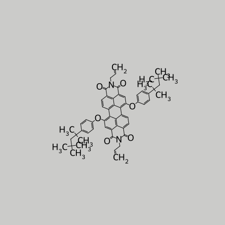 C=CCN1C(=O)c2ccc3c4c(Oc5ccc(C(C)(C)CC(C)(C)C)cc5)cc5c6c(ccc(c7c(Oc8ccc(C(C)(C)CC(C)(C)C)cc8)cc(c2c37)C1=O)c64)C(=O)N(CC=C)C5=O